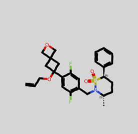 C=CCOC1(c2cc(F)c(CN3[C@@H](C)CC[C@H](c4ccccc4)S3(=O)=O)cc2F)CC2(COC2)C1